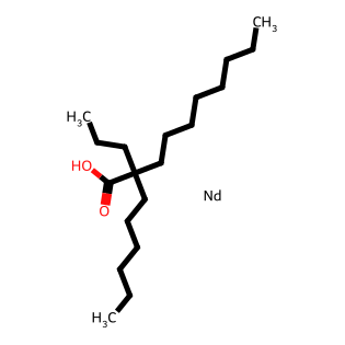 CCCCCCCCC(CCC)(CCCCCC)C(=O)O.[Nd]